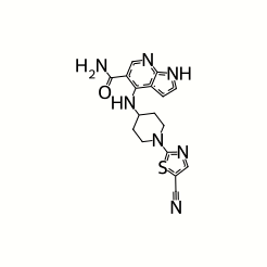 N#Cc1cnc(N2CCC(Nc3c(C(N)=O)cnc4[nH]ccc34)CC2)s1